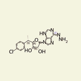 C[C@@H](c1ccc(Cl)cc1)[C@H]1O[C@@H](n2cnc3/c(=N\N)nc[nH]c32)[C@H](O)[C@@H]1O